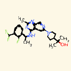 Cc1nc(NC(C)c2cccc(C(F)F)c2F)c2cc(N3CCC(C(C)(C)O)CC3)ncc2n1